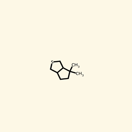 CC1(C)CCC2CSCC21